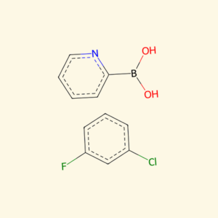 Fc1cccc(Cl)c1.OB(O)c1ccccn1